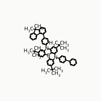 CC(C)(C)c1ccc2c(c1)N(c1ccc(-c3ccccc3)cc1)c1cc(C(C)(C)C)cc3c1B2c1ccc(C(C)(C)C)cc1N3c1ccc(-c2cccc3c2-c2ccccc2C3(C)C)cc1